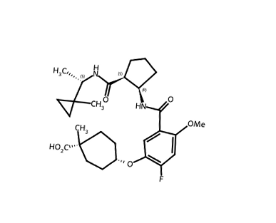 COc1cc(F)c(O[C@H]2CC[C@@](C)(C(=O)O)CC2)cc1C(=O)N[C@@H]1CCC[C@@H]1C(=O)N[C@@H](C)C1(C)CC1